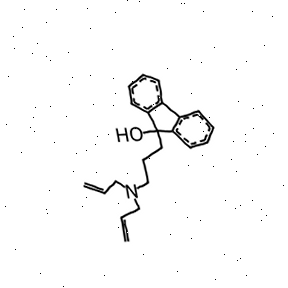 C=CCN(CC=C)CCCC1(O)c2ccccc2-c2ccccc21